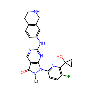 CCn1c(=O)c2cnc(Nc3ccc4c(c3)CNCC4)nc2n1-c1ccc(F)c(C2(O)CC2)n1